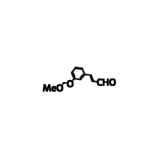 COCOc1cccc(C=CC=O)c1